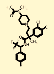 CC(=O)N(C)C1CCN(CCC(C)(C(=O)NC(c2ccc(F)cc2)C(F)(F)F)c2ccc(Cl)c(Cl)c2)CC1